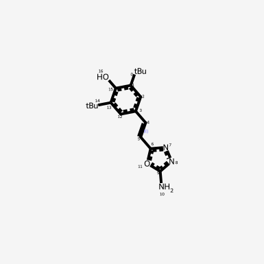 CC(C)(C)c1cc(/C=C/c2nnc(N)o2)cc(C(C)(C)C)c1O